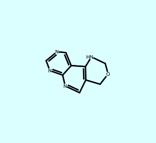 c1ncc2c3c(cnc2n1)COCN3